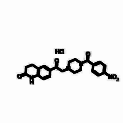 Cl.O=C1CCc2cc(C(=O)CN3CCN(C(=O)c4ccc([N+](=O)[O-])cc4)CC3)ccc2N1